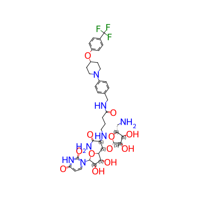 NC[C@H]1O[C@@H](O[C@H](C2OC(n3ccc(=O)[nH]c3=O)[C@H](O)[C@@H]2O)[C@H](NCCCC(=O)NCc2ccc(N3CCC(Oc4ccc(C(F)(F)F)cc4)CC3)cc2)C(N)=O)[C@H](O)[C@@H]1O